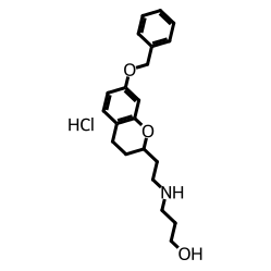 Cl.OCCCNCCC1CCc2ccc(OCc3ccccc3)cc2O1